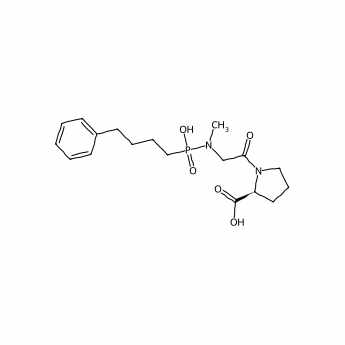 CN(CC(=O)N1CCC[C@H]1C(=O)O)P(=O)(O)CCCCc1ccccc1